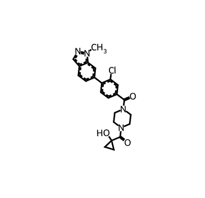 Cn1ncc2ccc(-c3ccc(C(=O)N4CCN(C(=O)C5(O)CC5)CC4)cc3Cl)cc21